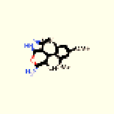 COc1cc(OC)c(C2C(C#N)=C(N)Oc3[nH]nc(C)c32)c(OC)c1